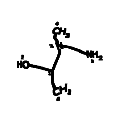 CC(O)N(C)N